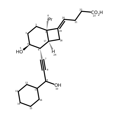 CC(C)[C@@]12CC[C@H](O)[C@@H](C#CC(O)C3CCCCC3)[C@@H]1CC2=CCCC(=O)O